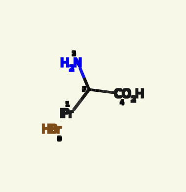 Br.CC(C)C(N)C(=O)O